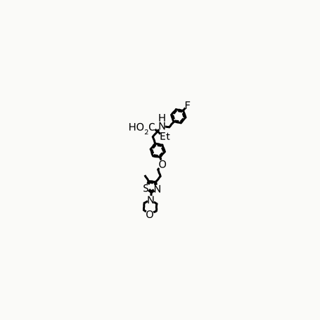 CCC(Cc1ccc(OCCc2nc(N3CCOCC3)sc2C)cc1)(NCc1ccc(F)cc1)C(=O)O